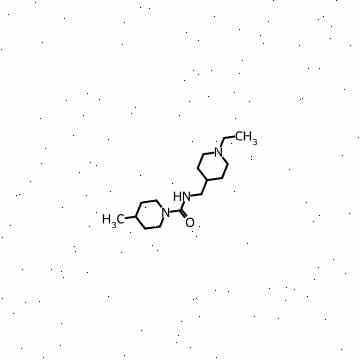 CCN1CCC(CNC(=O)N2CCC(C)CC2)CC1